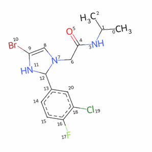 CC(C)NC(=O)CN1C=C(Br)NC1c1ccc(F)c(Cl)c1